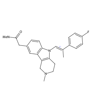 CNC(=O)Cc1ccc2c(c1)c1c(n2/C=C(\C)c2ccc(F)cc2)CCN(C)C1